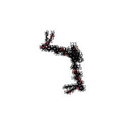 CCCCCCCCC1(CCCCCCCC)c2ccccc2-c2ccc(-c3ccc4c(c3)C(C)(C)c3cc(-c5c(C)cc(-c6cc7c8c(c6)c6cc(-c9cc(C)c(-c%10ccc%11c(c%10)C(C)(C)c%10cc(-c%12ccc%13c(c%12)C(CCCCCCCC)(CCCCCCCC)c%12ccccc%12-%13)ccc%10-%11)c(C)c9)cc9c(=O)c%10cccc(c%10n8c96)B7c6c(C)cc(C)cc6C)cc5C)ccc3-4)cc21